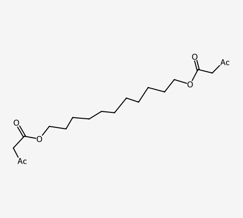 CC(=O)CC(=O)OCCCCCCCCCCCOC(=O)CC(C)=O